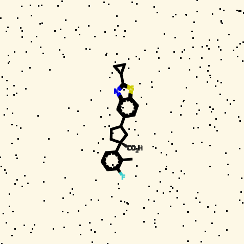 Cc1c(F)cccc1[C@]1(C(=O)O)CCC(c2ccc3sc(C4CC4)nc3c2)C1